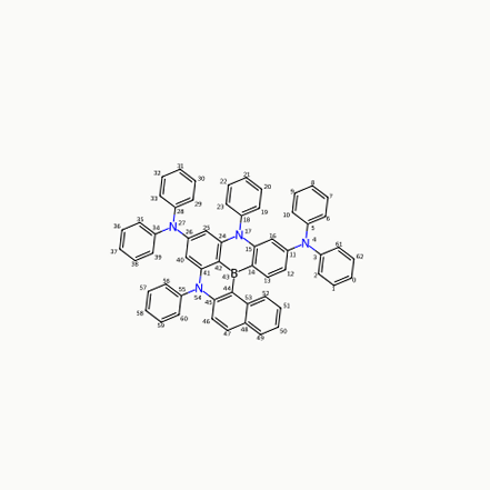 c1ccc(N(c2ccccc2)c2ccc3c(c2)N(c2ccccc2)c2cc(N(c4ccccc4)c4ccccc4)cc4c2B3c2c(ccc3ccccc23)N4c2ccccc2)cc1